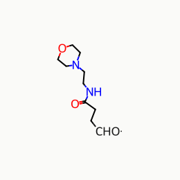 O=[C]CCC(=O)NCCN1CCOCC1